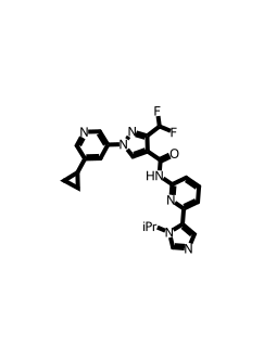 CC(C)n1cncc1-c1cccc(NC(=O)c2cn(-c3cncc(C4CC4)c3)nc2C(F)F)n1